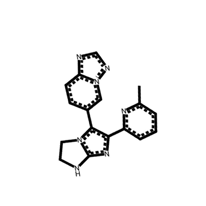 Cc1cccc(-c2nc3n(c2-c2ccc4ncnn4c2)CCN3)n1